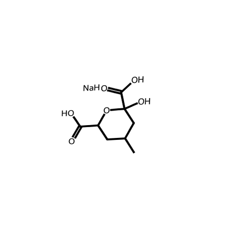 CC1CC(C(=O)O)OC(O)(C(=O)O)C1.[NaH]